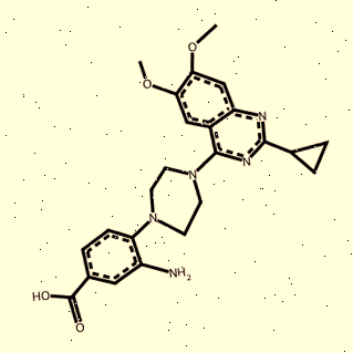 COc1cc2nc(C3CC3)nc(N3CCN(c4ccc(C(=O)O)cc4N)CC3)c2cc1OC